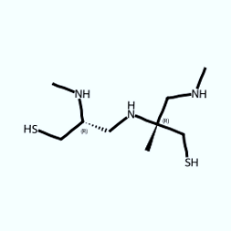 CNC[C@](C)(CS)NC[C@H](CS)NC